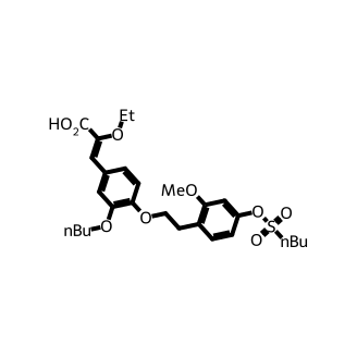 CCCCOc1cc(/C=C(\OCC)C(=O)O)ccc1OCCc1ccc(OS(=O)(=O)CCCC)cc1OC